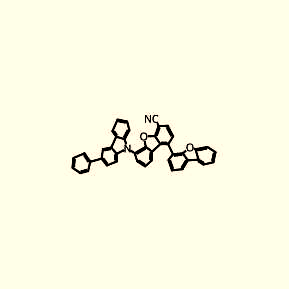 N#Cc1ccc(-c2cccc3c2oc2ccccc23)c2c1oc1c(-n3c4ccccc4c4cc(-c5ccccc5)ccc43)cccc12